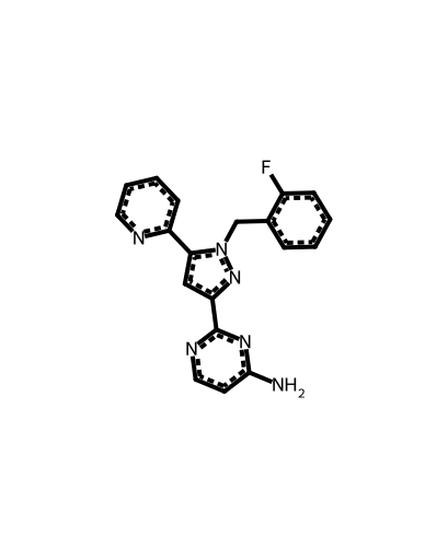 Nc1ccnc(-c2cc(-c3ccccn3)n(Cc3ccccc3F)n2)n1